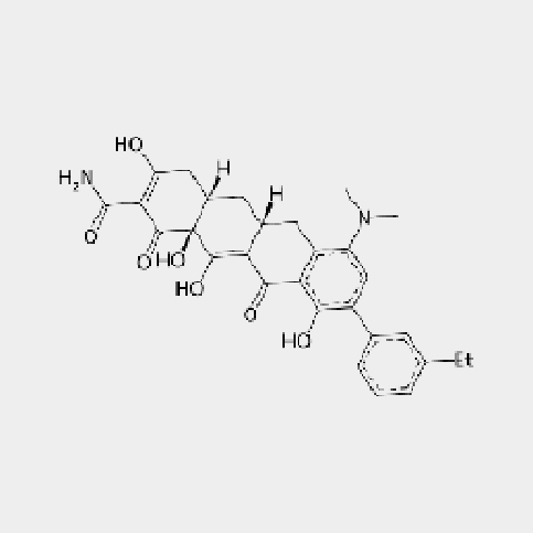 CCc1cccc(-c2cc(N(C)C)c3c(c2O)C(=O)C2=C(O)[C@]4(O)C(=O)C(C(N)=O)=C(O)C[C@@H]4C[C@@H]2C3)c1